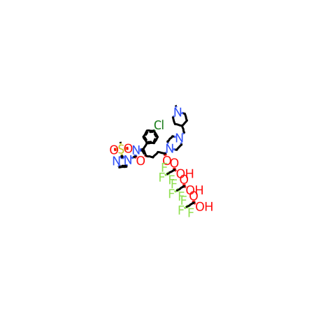 CN1CCC(CN2CCN(C(=O)CCc3oc(-n4ccnc4S(C)(=O)=O)nc3-c3ccc(Cl)cc3)CC2)CC1.O=C(O)C(F)(F)F.O=C(O)C(F)(F)F.O=C(O)C(F)(F)F